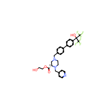 O=C(OCCO)[C@@H]1CN(Cc2ccc(-c3ccc(C(O)(C(F)(F)F)C(F)(F)F)cc3)cc2)CCN1Cc1ccncc1